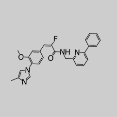 COc1cc(/C=C(/F)C(=O)NCc2cccc(-c3ccccc3)n2)ccc1-n1cnc(C)c1